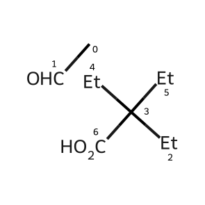 CC=O.CCC(CC)(CC)C(=O)O